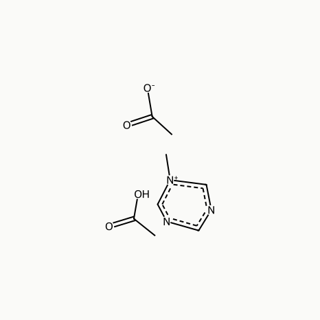 CC(=O)O.CC(=O)[O-].C[n+]1cncnc1